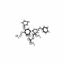 COc1ccc([C@@H]2CN(Cc3ccccc3)C[C@@]2(C)[C@@H](C)OC(C)=O)cc1OC1CCCC1